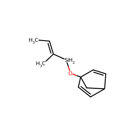 C/C=C(\C)[SiH2]OC12C=CC(C=C1)C2